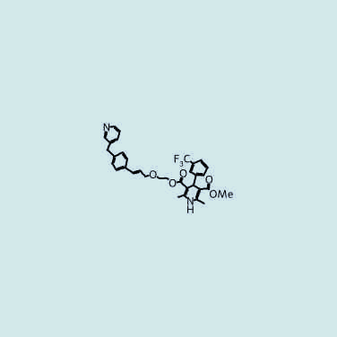 COC(=O)C1=C(C)NC(C)=C(C(=O)OCCOCC=Cc2ccc(Cc3cccnc3)cc2)C1c1cccc(C(F)(F)F)c1